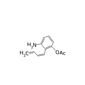 C=C/C=C\c1c(N)cccc1OC(C)=O